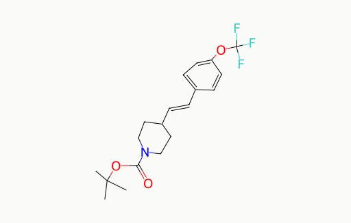 CC(C)(C)OC(=O)N1CCC(/C=C/c2ccc(OC(F)(F)F)cc2)CC1